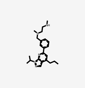 CCCc1cc(-c2cccc(CN(C)CCNC)c2)nc2c1cnn2C(C)C